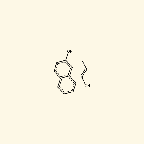 C/C=N/O.Oc1ccc2ccccc2n1